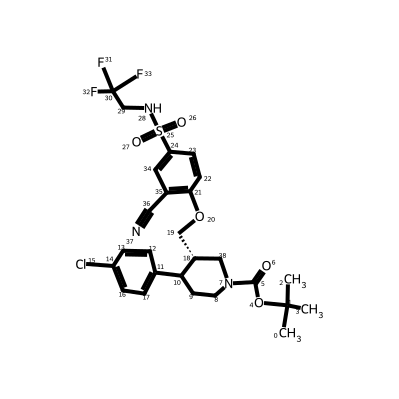 CC(C)(C)OC(=O)N1CCC(c2ccc(Cl)cc2)[C@H](COc2ccc(S(=O)(=O)NCC(F)(F)F)cc2C#N)C1